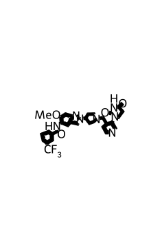 COc1cc2nn(C3CCN(Cc4ccncc4N4CCC(=O)NC4=O)CC3)cc2cc1NC(=O)c1cccc(C(F)(F)F)c1